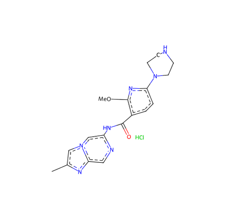 COc1nc(N2CCNCC2)ccc1C(=O)Nc1cn2cc(C)nc2cn1.Cl